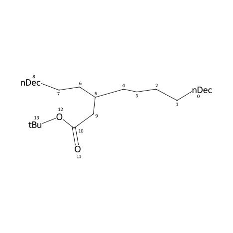 CCCCCCCCCCCCCCC(CCCCCCCCCCCC)CC(=O)OC(C)(C)C